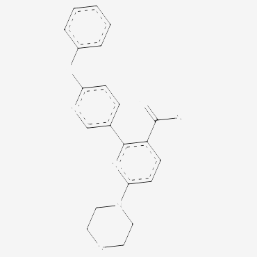 NC(=O)c1ccc(N2CCNCC2)nc1-c1ccc(Oc2ccccc2)nc1